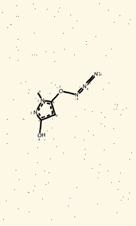 Cn1nc(O)cc1ON=[N+]=[N-]